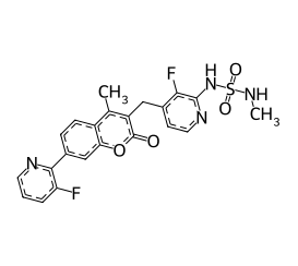 CNS(=O)(=O)Nc1nccc(Cc2c(C)c3ccc(-c4ncccc4F)cc3oc2=O)c1F